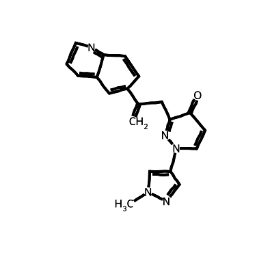 C=C(Cc1nn(-c2cnn(C)c2)ccc1=O)c1ccc2ncccc2c1